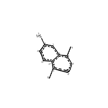 Cc1ccc(C)c2cc(S)ccc12